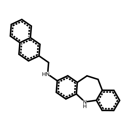 c1ccc2c(c1)CCc1cc(NCc3ccc4ccccc4c3)ccc1N2